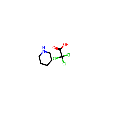 C1CCNCC1.O=C(O)C(Cl)(Cl)Cl